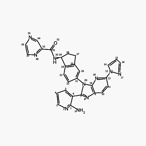 Nc1ncccc1-c1nc2ccc(-n3cccn3)nc2n1-c1ccc2c(c1)CC[C@@H]2NC(=O)c1cnccn1